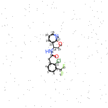 O=C(Cc1cccc(C(F)F)c1Cl)NC1COc2ncccc21